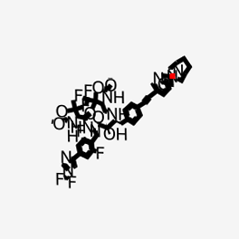 COC(=O)N[C@H](C(=O)NN(Cc1c(F)cc(-c2cn(C(F)F)cn2)cc1F)C[C@H](O)[C@H](Cc1ccc(C#Cc2ccc(N3CC4CCC(C3)N4C3COC3)nc2)cc1)NC(=O)[C@@H](NC(=O)OC)C(C)(C)C(F)(F)F)C(C)(C)C